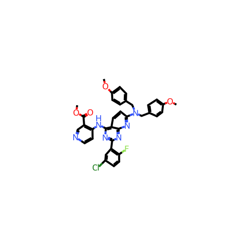 COC(=O)c1cnccc1Nc1nc(-c2cc(Cl)ccc2F)nc2nc(N(Cc3ccc(OC)cc3)Cc3ccc(OC)cc3)ccc12